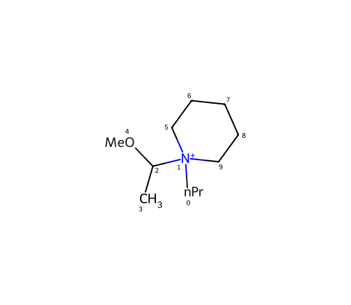 CCC[N+]1(C(C)OC)CCCCC1